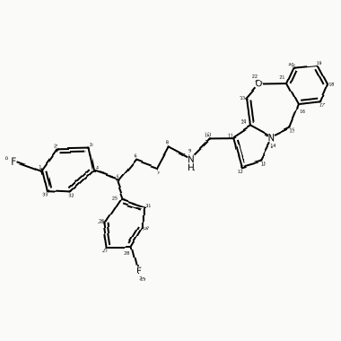 Fc1ccc(C(CCCNCC2=CCN3Cc4ccccc4OC=C23)c2ccc(F)cc2)cc1